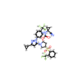 N#CC1(NC(=O)O[C@H]2C[C@@H](S(=O)(=O)c3ccccc3C(F)(F)F)CN2c2cc(C3CC3)nn2-c2ccc(C(F)(F)F)cc2)CC1